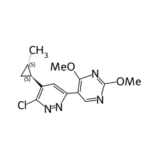 COc1ncc(-c2cc([C@H]3C[C@@H]3C)c(Cl)nn2)c(OC)n1